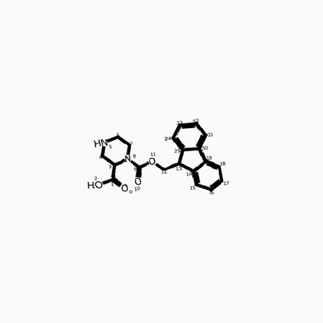 O=C(O)C1CNCCN1C(=O)OCC1c2ccccc2-c2ccccc21